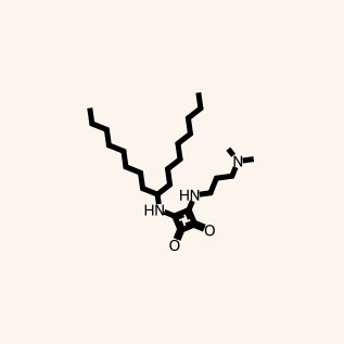 CCCCCCCCC(CCCCCCCC)Nc1c(NCCCN(C)C)c(=O)c1=O